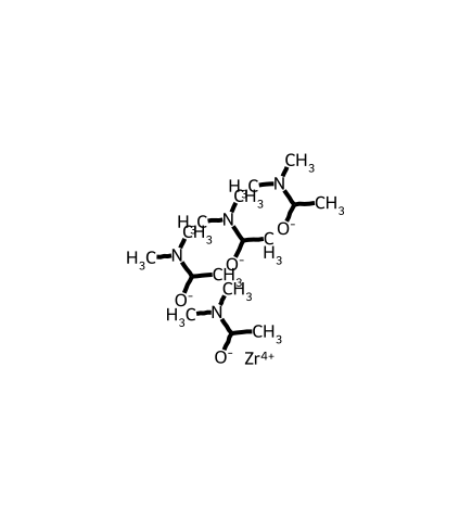 CC([O-])N(C)C.CC([O-])N(C)C.CC([O-])N(C)C.CC([O-])N(C)C.[Zr+4]